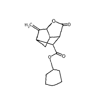 C=C1C2CC3C1OC(=O)C3C2C(=O)OC1CCCCC1